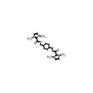 Cn1cc[n+](C)c1/C([O-])=N/CC1CCC(C/N=C(\[O-])c2n(C)cc[n+]2C)CC1